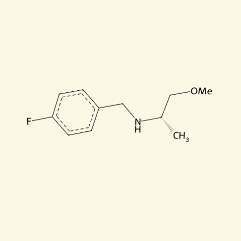 COC[C@H](C)NCc1ccc(F)cc1